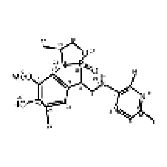 COc1cc(C(CNc2ncc(C)nc2C)P2(=O)OC[C@H](C)N2C)cc(C)c1O